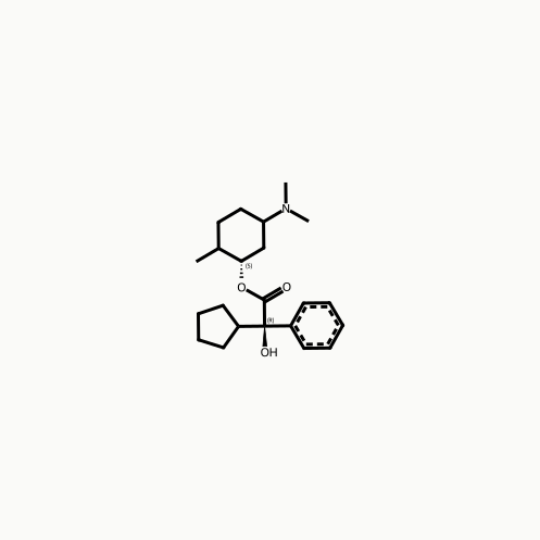 CC1CCC(N(C)C)C[C@@H]1OC(=O)[C@](O)(c1ccccc1)C1CCCC1